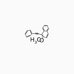 COc1ccc2ccccc2c1C#Cc1ccccc1